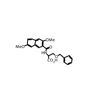 COc1ccc2cc(OC)c(C(=O)NC(COCc3ccccc3)C(=O)O)cc2c1